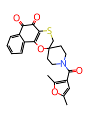 Cc1cc(C(=O)N2CCC3(CC2)CSC2=C(O3)c3ccccc3C(=O)C2=O)c(C)o1